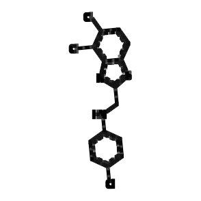 Clc1ccc(NCc2nc3c(Cl)c(Cl)ccc3s2)cc1